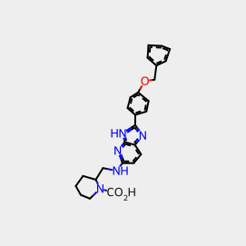 O=C(O)N1CCCCC1CNc1ccc2nc(-c3ccc(OCc4ccccc4)cc3)[nH]c2n1